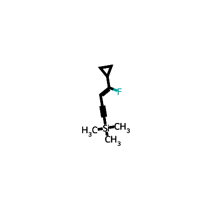 C[Si](C)(C)C#CC=C(F)C1CC1